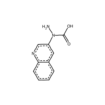 NN(C(=O)O)c1cnc2ccccc2c1